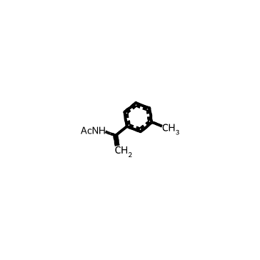 C=C(NC(C)=O)c1cccc(C)c1